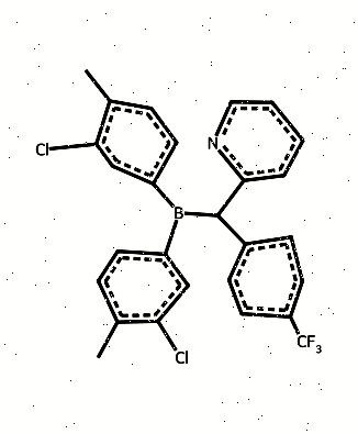 Cc1ccc(B(c2ccc(C)c(Cl)c2)C(c2ccc(C(F)(F)F)cc2)c2ccccn2)cc1Cl